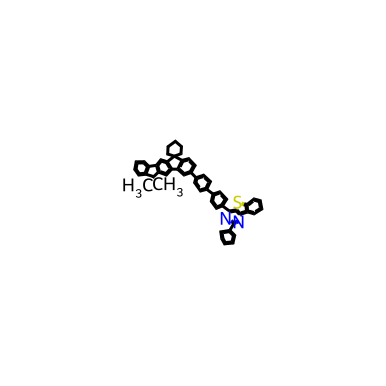 CC1(C)c2ccccc2-c2cc3c(cc21)-c1cc(-c2ccc(-c4ccc(-c5nc(-c6ccccc6)nc6c5sc5ccccc56)cc4)cc2)ccc1C31CCCCC1